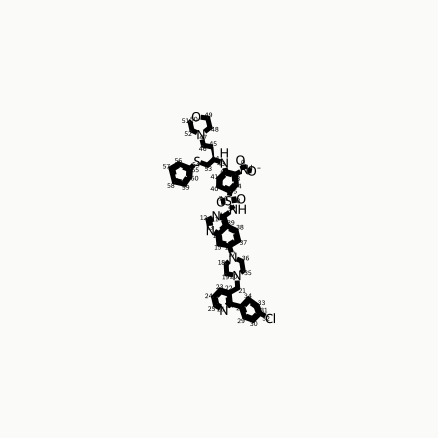 O=[N+]([O-])c1cc(S(=O)(=O)Nc2ncnc3cc(N4CCN(Cc5cccnc5-c5ccc(Cl)cc5)CC4)ccc23)ccc1N[C@H](CCN1CCOCC1)CSc1ccccc1